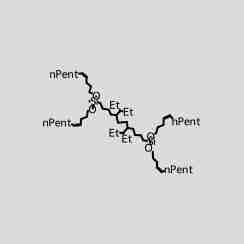 CCCCC/C=C\CCCO[Si](C)(CCCCC(CCC(CCCC[Si](C)(OCCC/C=C\CCCCC)OCCC/C=C\CCCCC)C(CC)CC)C(CC)CC)OCCC/C=C\CCCCC